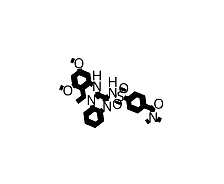 CCc1c(Nc2nc3ccccc3nc2NS(=O)(=O)c2ccc(C(=O)N(C)C)cc2)cc(OC)cc1OC